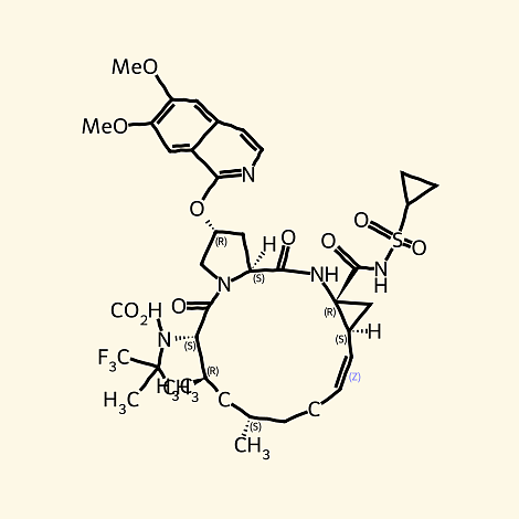 COc1cc2ccnc(O[C@@H]3C[C@H]4C(=O)N[C@]5(C(=O)NS(=O)(=O)C6CC6)C[C@H]5/C=C\CC[C@H](C)C[C@@H](C)[C@H](N(C(=O)O)C(C)(C)C(F)(F)F)C(=O)N4C3)c2cc1OC